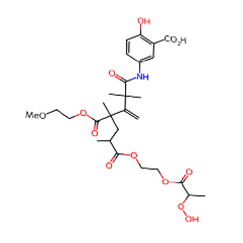 C=C(C(C)(C)C(=O)Nc1ccc(O)c(C(=O)O)c1)C(C)(CC(C)C(=O)OCCOC(=O)C(C)OO)C(=O)OCCOC